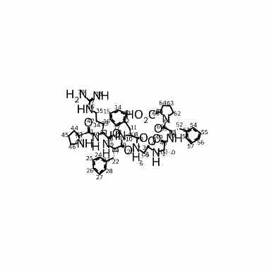 C[C@H](NC(=O)[C@H](C)NC(=O)[C@H](Cc1ccccc1)NC(=O)[C@H](Cc1ccccc1)NC(=O)[C@H](CCCNC(=N)N)NC(=O)[C@@H]1CCCN1)C(=O)N[C@@H](Cc1ccccc1)C(=O)N1CCC[C@@H]1C(=O)O